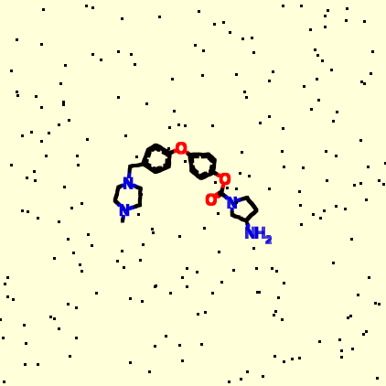 CN1CCN(Cc2ccc(Oc3ccc(OC(=O)N4CC[C@@H](N)C4)cc3)cc2)CC1